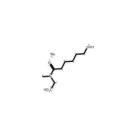 CCCCCCCCCCCCCC(=O)N(C)CC(=O)O.[Na]